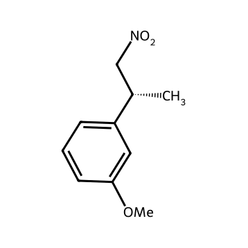 COc1cccc([C@@H](C)C[N+](=O)[O-])c1